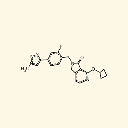 Cn1cc(-c2ccc(CN3Cc4ccnc(OC5CCC5)c4C3=O)c(F)c2)nn1